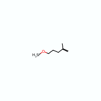 C=C(C)CCCO[SiH3]